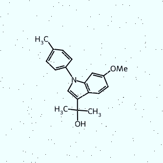 COc1ccc2c(C(C)(C)O)cn(-c3ccc(C)cc3)c2c1